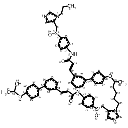 CCCn1cncc1C[S@@+]([O-])c1ccc(NC(=O)/C=C/c2cccc(-c3ccc(OC(C)CCCCn4cncc4C[S@+]([O-])c4ccc(NC(=O)/C=C/c5cccc(-c6ccc(OC(C)C)cc6)c5)cc4)cc3)c2)cc1